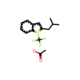 CC(=O)[O-].CC(C)Cc1cc2ccccc2[s+]1C(F)(F)F